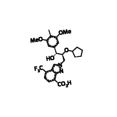 COc1cc([C@@H](O)[C@H](Cn2cc3c(C(F)(F)F)ccc(C(=O)O)c3n2)OC2CCCC2)cc(OC)c1C